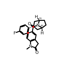 CN1C(=O)Cc2cc(C(=O)N3[C@@H]4CC[C@H]3C[C@@H](c3ccc(F)cc3)C4)ccc21